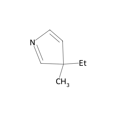 CCC1(C)C=CN=C1